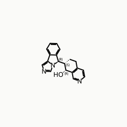 O[C@H]1c2cnccc2CC[C@H]1[C@@H]1c2ccccc2-c2cncn21